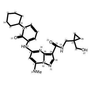 CNc1cc(Nc2cccn(C3CCCCC3)c2=O)nc2c(C(=O)NCC3(CO)CC3)cnn12